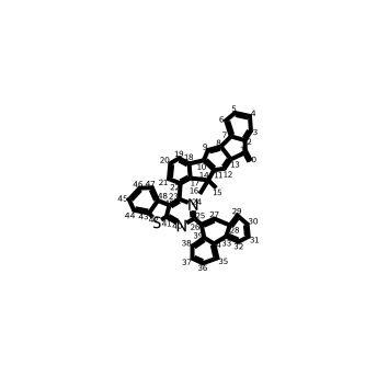 C=C1c2ccccc2-c2cc3c(cc21)C(C)(C)c1c-3cccc1-c1nc(-c2cc3ccccc3c3ccccc23)nc2sc3ccccc3c12